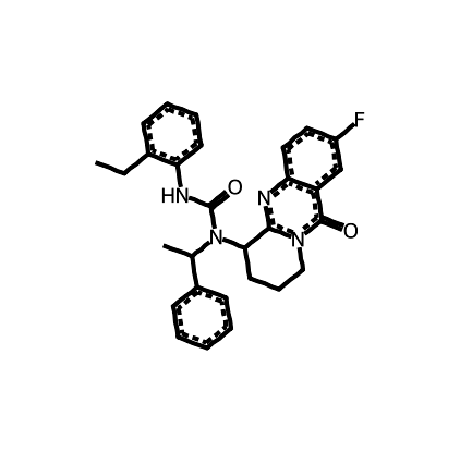 CCc1ccccc1NC(=O)N(C(C)c1ccccc1)C1CCCn2c1nc1ccc(F)cc1c2=O